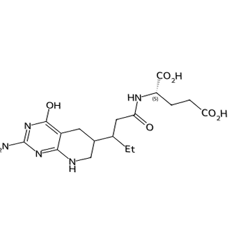 CCC(CC(=O)N[C@@H](CCC(=O)O)C(=O)O)C1CNc2nc(N)nc(O)c2C1